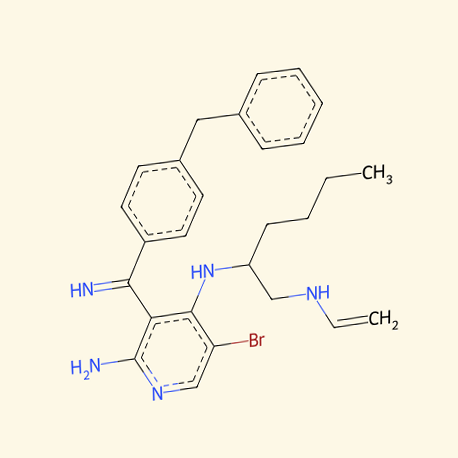 C=CNCC(CCCC)Nc1c(Br)cnc(N)c1C(=N)c1ccc(Cc2ccccc2)cc1